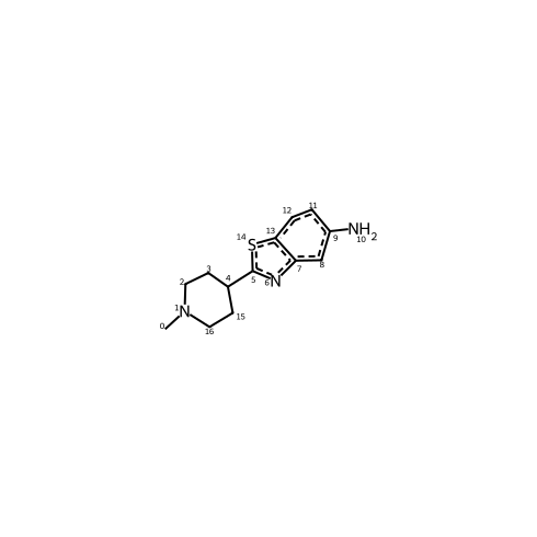 CN1CCC(c2nc3cc(N)ccc3s2)CC1